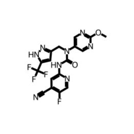 COc1ncc(N(Cc2cc(C(F)(F)F)[nH]n2)C(=O)Nc2cc(C#N)c(F)cn2)cn1